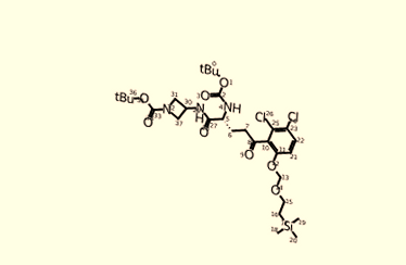 CC(C)(C)OC(=O)N[C@H](CCC(=O)c1c(OCOCC[Si](C)(C)C)ccc(Cl)c1Cl)C(=O)NC1CN(C(=O)OC(C)(C)C)C1